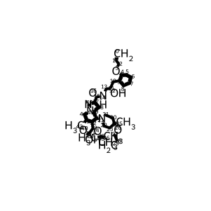 C=CCOc1ccccc1CC(O)CNC(=O)c1cc2c(N3CCC(C)(OCC=C)CC3)c(C(OC(C)(C)C)C(=O)O)c(C)cn2n1